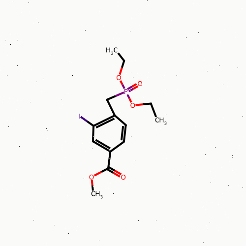 CCOP(=O)(Cc1ccc(C(=O)OC)cc1I)OCC